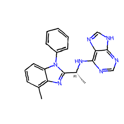 Cc1cccc2c1nc([C@@H](C)Nc1ncnc3[nH]cnc13)n2-c1ccccc1